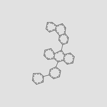 c1ccc(-c2cccc(-c3c4ccccc4c(-c4ccc5ccc6ccccc6c5c4)c4ccccc34)c2)cc1